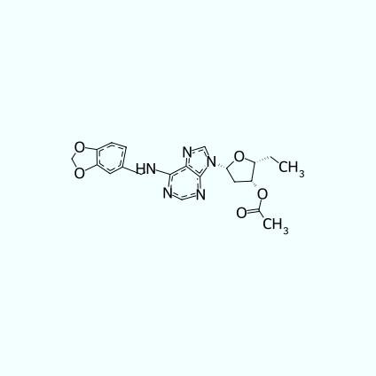 CC[C@H]1O[C@@H](n2cnc3c(NCc4ccc5c(c4)OCO5)ncnc32)C[C@H]1OC(C)=O